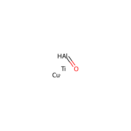 [Cu].[O]=[AlH].[Ti]